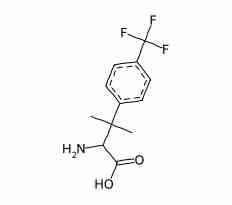 CC(C)(c1ccc(C(F)(F)F)cc1)C(N)C(=O)O